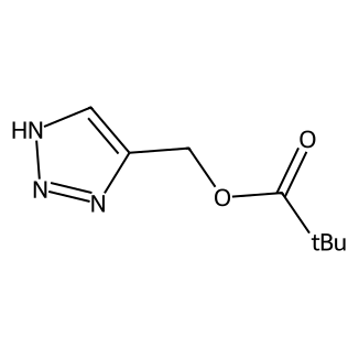 CC(C)(C)C(=O)OCc1c[nH]nn1